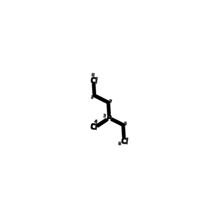 ClCCP(Cl)CCl